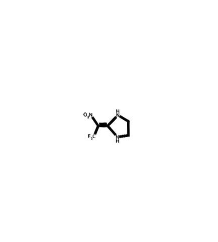 O=[N+]([O-])C(=C1NCCN1)C(F)(F)F